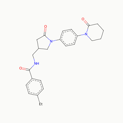 CCc1ccc(C(=O)NCC2CC(=O)N(c3ccc(N4CCCCC4=O)cc3)C2)cc1